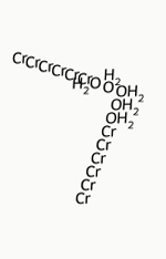 O.O.O.O.O.[Cr].[Cr].[Cr].[Cr].[Cr].[Cr].[Cr].[Cr].[Cr].[Cr].[Cr].[Cr]